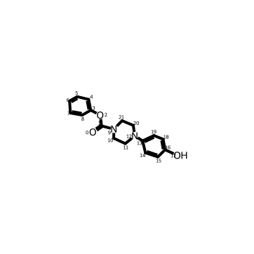 O=C(Oc1ccccc1)N1CCN(c2ccc(O)cc2)CC1